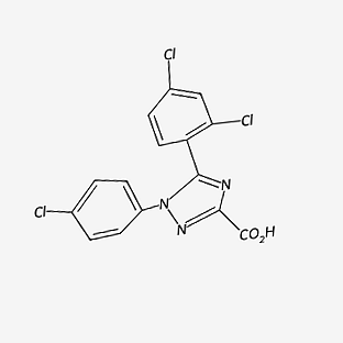 O=C(O)c1nc(-c2ccc(Cl)cc2Cl)n(-c2ccc(Cl)cc2)n1